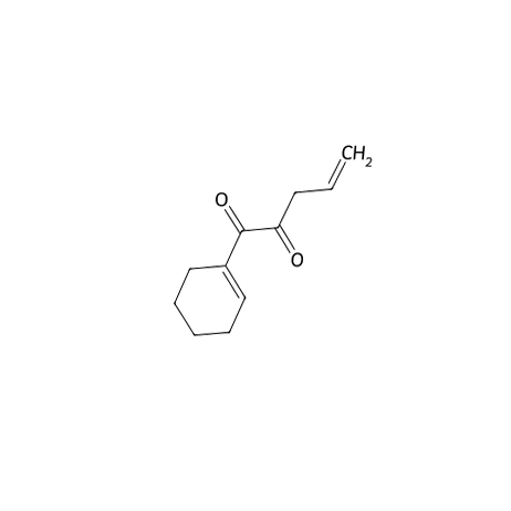 C=CCC(=O)C(=O)C1=CCCCC1